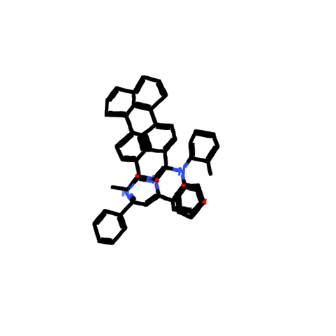 CCC/C=C(\c1ccc(-c2cccc3cccc(-c4ccc(-c5nc(-c6ccccc6)cc(-c6ccccc6)n5)cc4)c23)cc1)N(c1ccccc1)c1ccccc1C